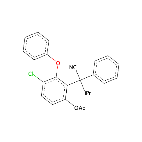 CC(=O)Oc1ccc(Cl)c(Oc2ccccc2)c1C(C#N)(c1ccccc1)C(C)C